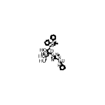 CC(C)(C)[Si](OC[C@H]1O[C@@H](n2cnc3c(NC(=O)c4ccccc4)ncnc32)[C@@](O)(CC(O)CO)[C@@H]1O)(c1ccccc1)c1ccccc1